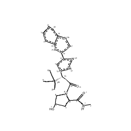 CNC(=O)C1CC(O)CN1C(=O)[C@@H](n1cc(-c2cnc3ccccc3n2)nn1)C(C)(C)C